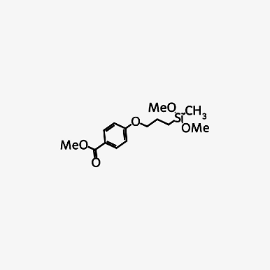 COC(=O)c1ccc(OCCC[Si](C)(OC)OC)cc1